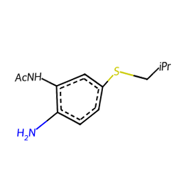 CC(=O)Nc1cc(SCC(C)C)ccc1N